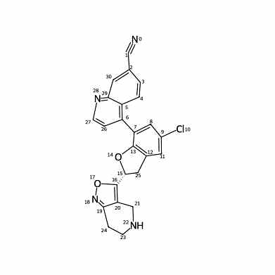 N#Cc1ccc2c(-c3cc(Cl)cc4c3O[C@@H](c3onc5c3CNCC5)C4)ccnc2c1